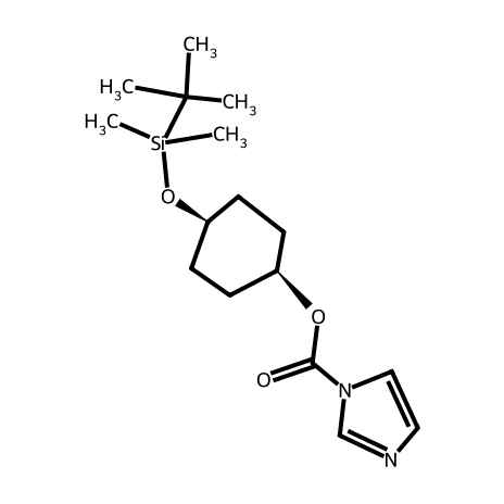 CC(C)(C)[Si](C)(C)O[C@H]1CC[C@@H](OC(=O)n2ccnc2)CC1